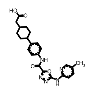 Cc1ccc(Nc2nnc(C(=O)Nc3ccc(C4CCC(CC(=O)O)CC4)cc3)o2)nc1